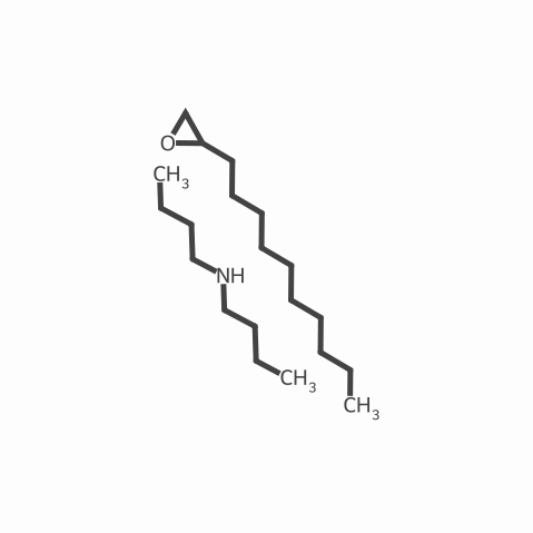 CCCCCCCCCCC1CO1.CCCCNCCCC